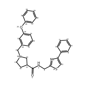 O=C(NCc1nc(-c2ccccc2)cs1)C1CCN(Cc2cccc(Oc3ccccc3)c2)C1